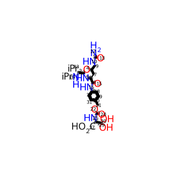 CC(C)N[C@H](C(=O)N[C@@H](CCCNC(N)=O)C(=O)Nc1ccc(COC(=O)NC(C(=O)O)C(O)O)cc1)C(C)C